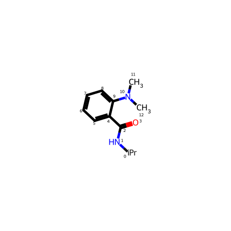 CC(C)NC(=O)c1ccccc1N(C)C